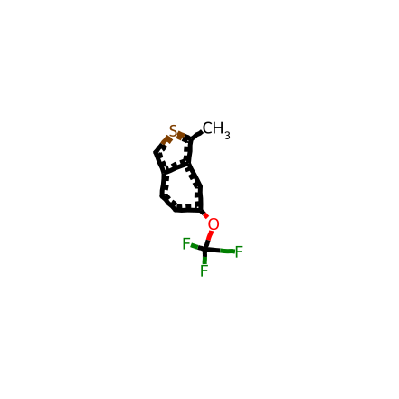 Cc1scc2ccc(OC(F)(F)F)cc12